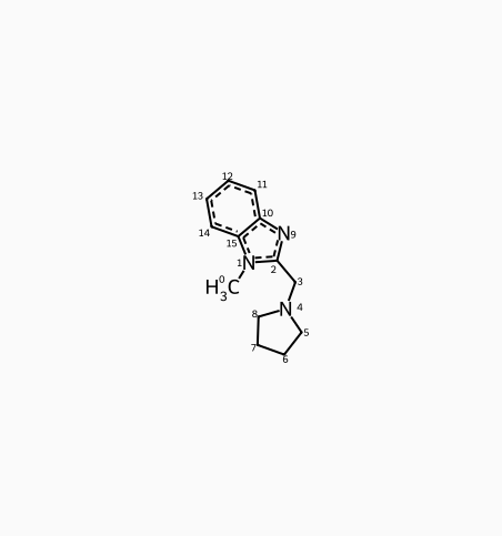 Cn1c(CN2CCCC2)nc2ccccc21